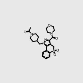 CC(=O)N1CCC(Cn2nc(C(=O)N3CCOCC3)c3c2-c2ccccc2S(=O)(=O)C3)CC1